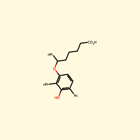 CCCc1c(OC(CCC)CCCCC(=O)O)ccc(C(C)=O)c1O